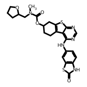 CN(CC1CCCO1)C(=O)OC1CCc2c(sc3ncnc(Nc4ccc5[nH]c(=O)sc5c4)c23)C1